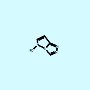 On1ccc2nncn21